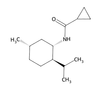 CC(C)[C@H]1CC[C@H](C)C[C@@H]1NC(=O)C1CC1